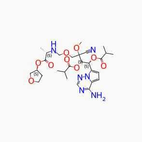 COC(C#N)(COCN[C@@H](C)C(=O)O[C@H]1CCOC1)[C@@H](OC(=O)C(C)C)[C@@H](OC(=O)C(C)C)c1ccc2c(N)ncnn12